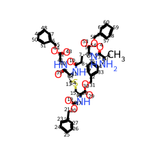 C[C@H](N)C(=O)N[C@H](CCC(=O)N[C@H](CSC[C@H](NC(=O)OCc1ccccc1)C(=O)OCc1ccccc1)C(=O)NCC(=O)OCc1ccccc1)C(=O)OCc1ccccc1